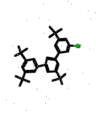 CC(C)(C)c1cc(Br)cc(-c2cc(-c3cc(C(C)(C)C)cc(C(C)(C)C)c3)cc(C(C)(C)C)c2)c1